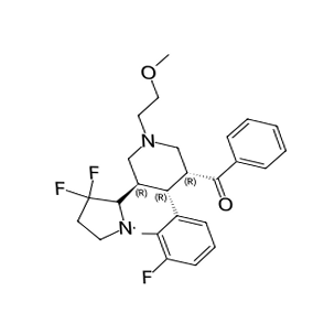 COCCN1C[C@H](C(=O)c2ccccc2)[C@H](c2cccc(F)c2C)[C@@H](C2[N]CCC2(F)F)C1